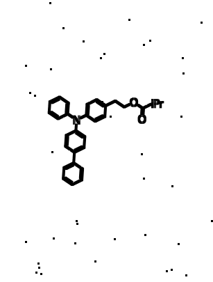 CC(C)C(=O)OCCc1ccc(N(c2ccccc2)c2ccc(-c3ccccc3)cc2)cc1